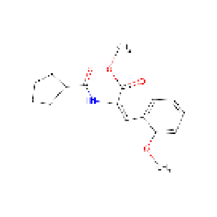 COC(=O)/C(=C\c1ccccc1OC)NC(=O)C1CCCC1